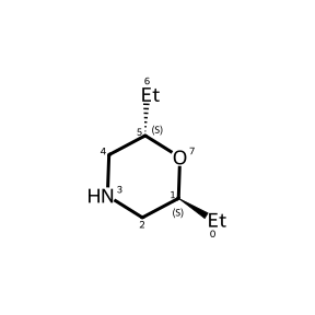 CC[C@H]1CNC[C@H](CC)O1